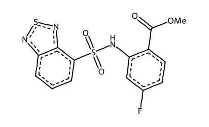 COC(=O)c1ccc(F)cc1NS(=O)(=O)c1cccc2nsnc12